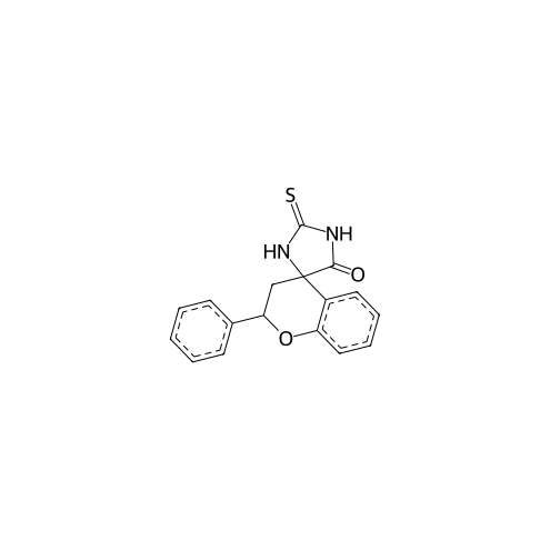 O=C1NC(=S)NC12CC(c1ccccc1)Oc1ccccc12